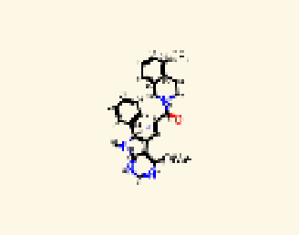 COc1ncnc2c1c(/C=C/C(=O)N1CCc3c(cccc3C(F)(F)F)C1)c(-c1ccccc1)n2C